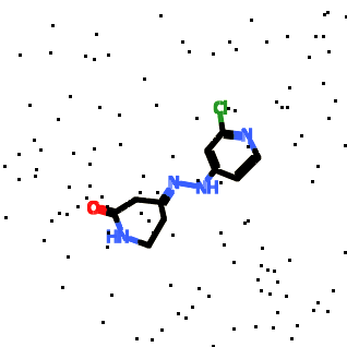 O=C1CC(=NNc2ccnc(Cl)c2)CCN1